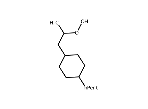 CCCCCC1CCC(CC(C)OO)CC1